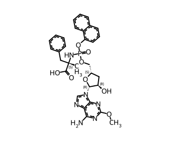 COc1nc(N)c2ncn([C@@H]3O[C@H](COP(=O)(N[C@@](C)(Cc4ccccc4)C(=O)O)Oc4cccc5ccccc45)C[C@H]3O)c2n1